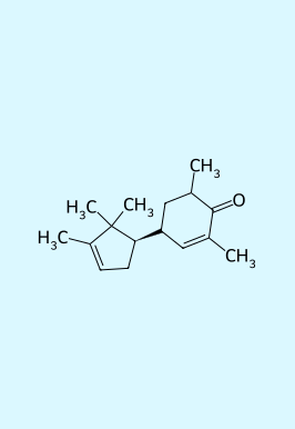 CC1=CC([C@H]2CC=C(C)C2(C)C)CC(C)C1=O